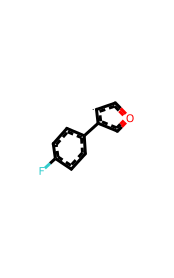 Fc1ccc(-c2[c]coc2)cc1